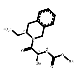 CC(C)(C)OC(=O)N[C@H](C(=O)N1Cc2ccccc2C[C@@H]1CC(=O)O)C(C)(C)C